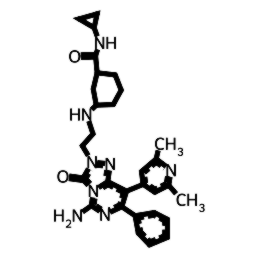 Cc1cc(-c2c(-c3ccccc3)nc(N)n3c(=O)n(CCNC4CCCC(C(=O)NC5CC5)C4)nc23)cc(C)n1